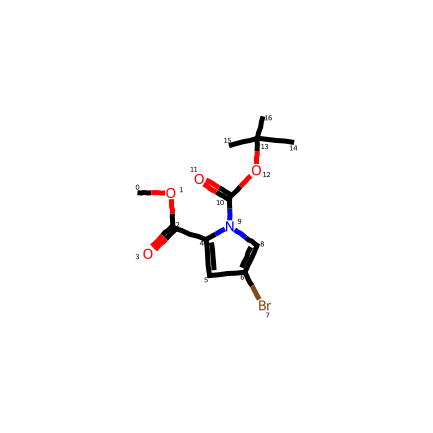 COC(=O)c1cc(Br)cn1C(=O)OC(C)(C)C